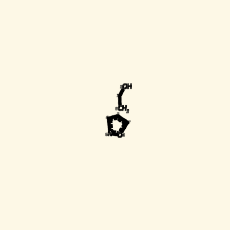 CCO.c1cnoc1